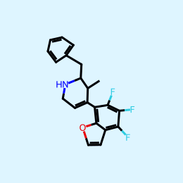 CC1C(c2c(F)c(F)c(F)c3ccoc23)=CCNC1Cc1ccccc1